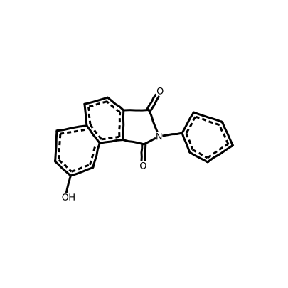 O=C1c2ccc3ccc(O)cc3c2C(=O)N1c1ccccc1